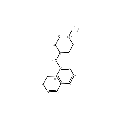 O=C(O)N1CCC(Oc2cccc3c2CCN=C3)CC1